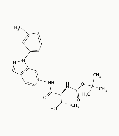 Cc1cccc(-n2ncc3ccc(NC(=O)[C@@H](NC(=O)OC(C)(C)C)[C@H](C)O)cc32)c1